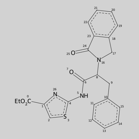 CCOC(=O)c1csc(NC(=O)C(Cc2ccccc2)N2Cc3ccccc3C2=O)n1